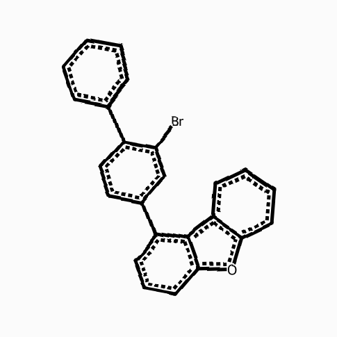 Brc1cc(-c2cccc3oc4ccccc4c23)ccc1-c1ccccc1